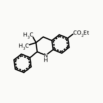 CCOC(=O)c1ccc2c(c1)CC(C)(C)C(c1ccccc1)N2